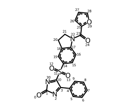 O=C1N=C(c2ccccc2)C(S(=O)(=O)c2ccc3c(c2)CCN3C(=O)c2ccco2)=N1